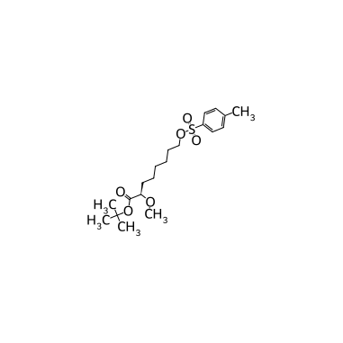 CO[C@H](CCCCCCOS(=O)(=O)c1ccc(C)cc1)C(=O)OC(C)(C)C